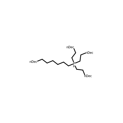 CCCCCCCCCCCCCCCC[PH](CCCCCCCCCCCC)(CCCCCCCCCCCC)CCCCCCCCCCCC